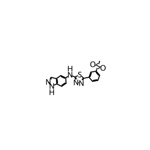 CS(=O)(=O)c1cccc(-c2nnc(Nc3ccc4[nH]ncc4c3)s2)c1